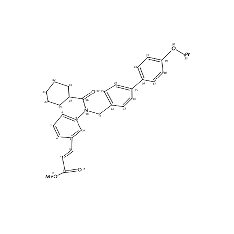 COC(=O)/C=C/c1cccc(N(Cc2ccc(-c3ccc(OC(C)C)cc3)cc2)C(=O)C2CCCCC2)c1